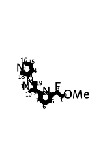 COCC(F)c1cccc(-c2cnn(-c3cccnc3)c2)n1